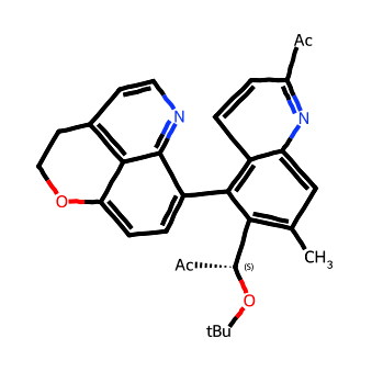 CC(=O)c1ccc2c(-c3ccc4c5c(ccnc35)CCO4)c([C@H](OC(C)(C)C)C(C)=O)c(C)cc2n1